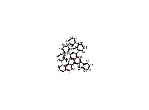 c1ccc(-c2ccccc2N(c2ccc3c(c2)C(c2ccccc2)(c2ccccc2)c2ccccc2-3)c2ccccc2-c2cccc3c2sc2ccccc23)cc1